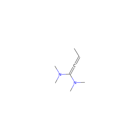 CC=C=C(N(C)C)N(C)C